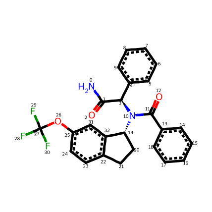 NC(=O)[C@@H](c1ccccc1)N(C(=O)c1ccccc1)[C@@H]1CCc2ccc(OC(F)(F)F)cc21